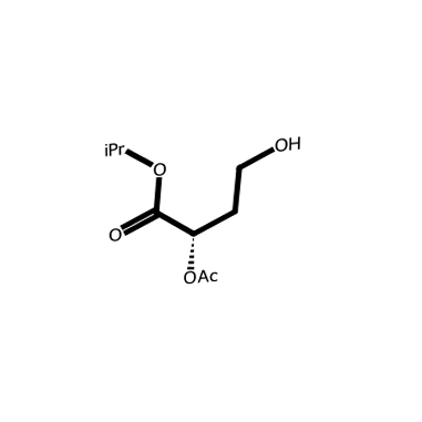 CC(=O)O[C@@H](CCO)C(=O)OC(C)C